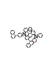 c1ccc(N(c2ccccc2)c2ccc3c4c(cccc24)-c2c(cccc2N(c2ccc(-c4cccc5ccccc45)cc2)c2ccc(-c4cccc5ccccc45)cc2)O3)cc1